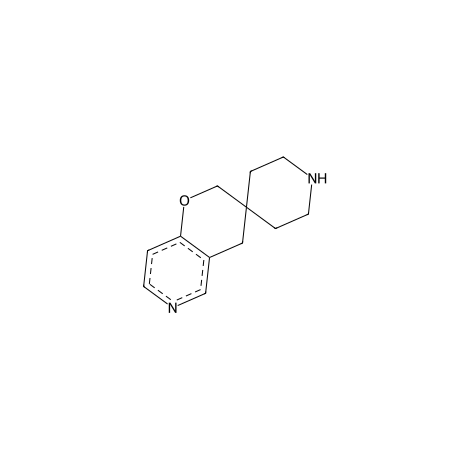 c1cc2c(cn1)CC1(CCNCC1)CO2